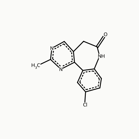 Cc1ncc2c(n1)-c1cc(Cl)ccc1NC(=O)C2